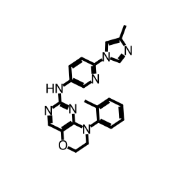 Cc1cn(-c2ccc(Nc3ncc4c(n3)N(c3ccccc3C)CCO4)cn2)cn1